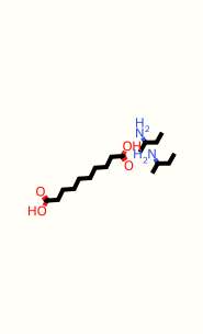 CCC(C)N.CCC(C)N.O=C(O)CCCCCCCCC(=O)O